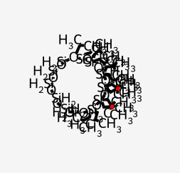 CC(C)C[Si]1(CC(C)C)O[SiH2]O[SiH2]O[SiH2]O[SiH2]O[SiH2]O[SiH2]O[Si](CC(C)C)(CC(C)C)O[Si](CC(C)C)(CC(C)C)O[Si](CC(C)C)(CC(C)C)O[Si](CC(C)C)(CC(C)C)O[Si](CC(C)C)(CC(C)C)O1